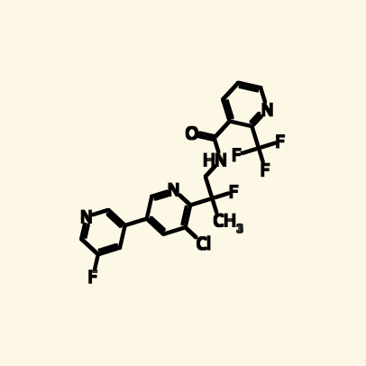 CC(F)(CNC(=O)c1cccnc1C(F)(F)F)c1ncc(-c2cncc(F)c2)cc1Cl